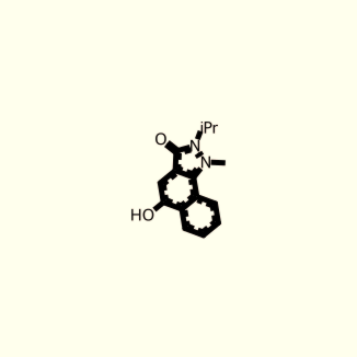 CC(C)n1c(=O)c2cc(O)c3ccccc3c2n1C